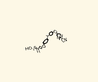 CC(c1ccc(Oc2cnc(C#N)nc2)cc1)c1ccc(O[C@H]2C[C@H](NC(=O)O)C2)cc1